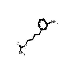 NC(=O)OCCCCc1cccc(N)c1